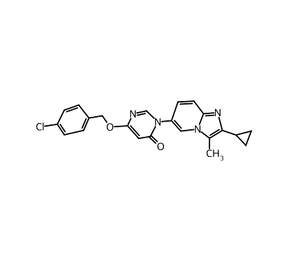 Cc1c(C2CC2)nc2ccc(-n3cnc(OCc4ccc(Cl)cc4)cc3=O)cn12